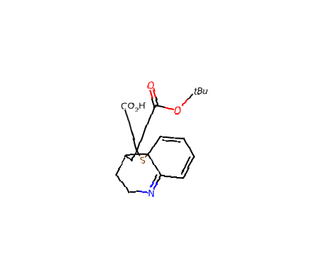 CC(C)(C)OC(=O)C1(C(=O)O)CC2CCN=C3C=CC=CC32S1